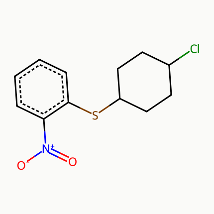 O=[N+]([O-])c1ccccc1SC1CCC(Cl)CC1